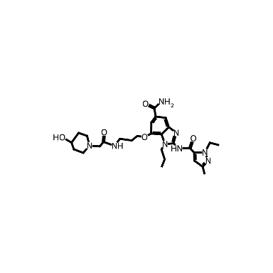 CCCn1c(NC(=O)c2cc(C)nn2CC)nc2cc(C(N)=O)cc(OCCCNC(=O)CN3CCC(O)CC3)c21